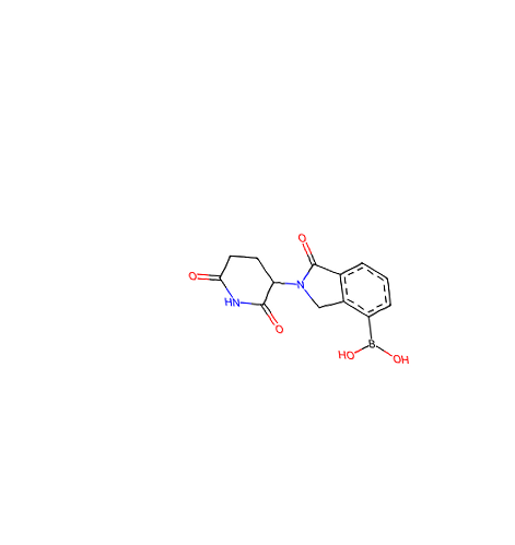 O=C1CCC(N2Cc3c(B(O)O)cccc3C2=O)C(=O)N1